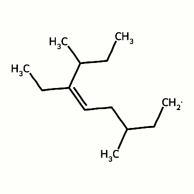 [CH2]CC(C)CC=C(CC)C(C)CC